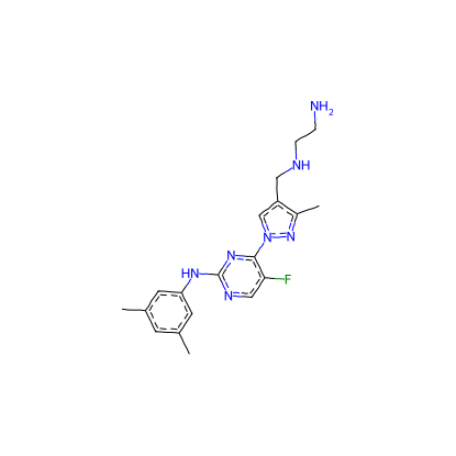 Cc1cc(C)cc(Nc2ncc(F)c(-n3cc(CNCCN)c(C)n3)n2)c1